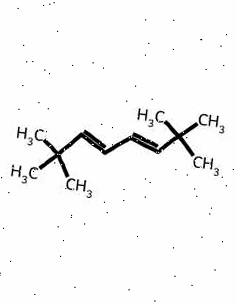 CC(C)(C)C=CC=CC(C)(C)C